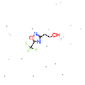 OCCc1noc(C(F)(F)F)n1